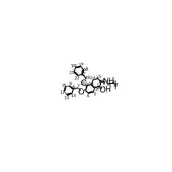 O[C@@H]1c2ccc(OCc3ccccc3)c(OCc3ccccc3)c2CC[C@H]1NCCF